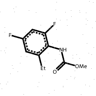 CCc1cc(F)cc(F)c1NC(=O)OC